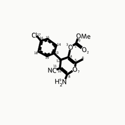 COC(=O)OC1=C(C)OC(N)=C(C#N)C1c1ccc(Cl)cc1